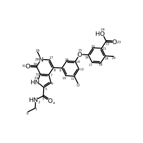 CCNC(=O)c1cc2c(-c3cc(C)cc(Oc4ccc(C)c(C(=O)O)c4)c3)cn(C)c(=O)c2[nH]1